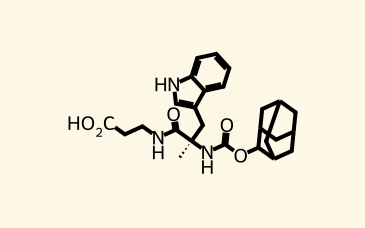 C[C@](Cc1c[nH]c2ccccc12)(NC(=O)OC1C2CC3CC(C2)CC1C3)C(=O)NCCC(=O)O